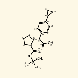 CC(C)(C)OC(=O)N1CCCC1[C@@H](C(=O)O)c1ccc(C2CC2)cc1